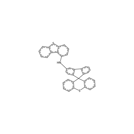 c1ccc2c(c1)Sc1ccccc1C21c2ccccc2-c2cc(Nc3cccc4sc5ccccc5c34)ccc21